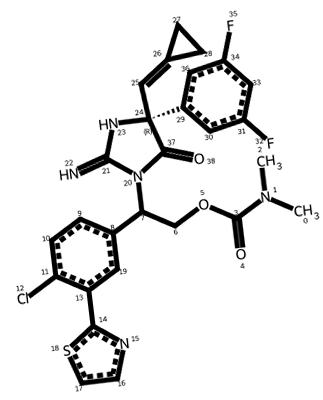 CN(C)C(=O)OCC(c1ccc(Cl)c(-c2nccs2)c1)N1C(=N)N[C@](C=C2CC2)(c2cc(F)cc(F)c2)C1=O